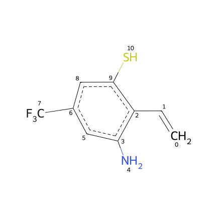 C=Cc1c(N)cc(C(F)(F)F)cc1S